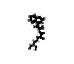 CCN(CC)CCCC(C)NCC(=O)Nc1cc(C)cc2cccnc12